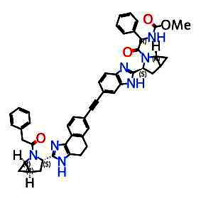 COC(=O)N[C@@H](C(=O)N1[C@@H]2CC2C[C@H]1c1nc2ccc(C#Cc3ccc4c(c3)CCc3[nH]c([C@@H]5C[C@H]6C[C@H]6N5C(=O)Cc5ccccc5)nc3-4)cc2[nH]1)c1ccccc1